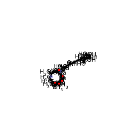 C=CCC1/C=C(\C)C[C@@H](C)C[C@H](OC)[C@H]2O[C@@](O)(C(=O)C(=O)N3CCCCC3C(=O)O[C@H](/C(C)=C/C3CCC(OC(=O)CCC(=O)NCCCCCCOC4OC(CO)C(OC5OC(CO)C(O)C(O)C5O)C(O)C4O)[C@H](CO)C3)[C@H](C)[C@H](O)CC1=O)[C@H](C)CC2OC